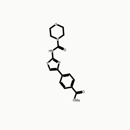 COC(=O)c1ccc(-c2csc(NC(=O)N3CCSCC3)n2)cc1